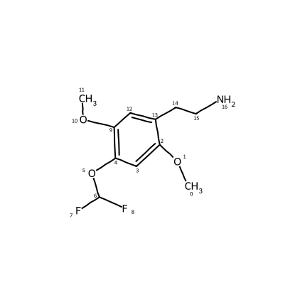 COc1cc(OC(F)F)c(OC)cc1CCN